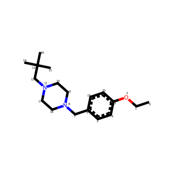 CCOc1ccc(CN2CCN(CC(C)(C)C)CC2)cc1